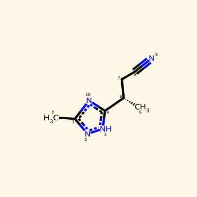 Cc1n[nH]c([C@@H](C)CC#N)n1